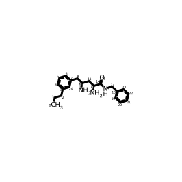 CCCc1cccc(C[C@H](N)C[C@H](N)C(=O)NCc2ccccc2)c1